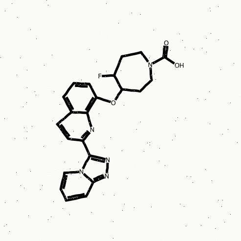 O=C(O)N1CCC(F)C(Oc2cccc3ccc(-c4nnc5ccccn45)nc23)CC1